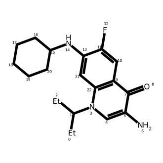 CCC(CC)n1cc(N)c(=O)c2cc(F)c(NC3CCCCC3)cc21